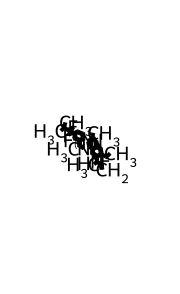 C=C(F)N(C)c1cc2c(N[C@H](C)c3cccc(C(F)(F)C(C)C)c3F)nc(C)nc2cc1CC